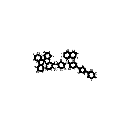 c1ccc(-c2ccc(-c3ccc(N(c4ccc5c(c4)Oc4c(ccc6c4-c4ccccc4C64c6ccccc6-c6ccccc64)O5)c4cccc5ccccc45)cc3)cc2)cc1